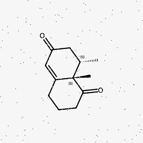 C[C@H]1CC(=O)C=C2CCCC(=O)[C@]21C